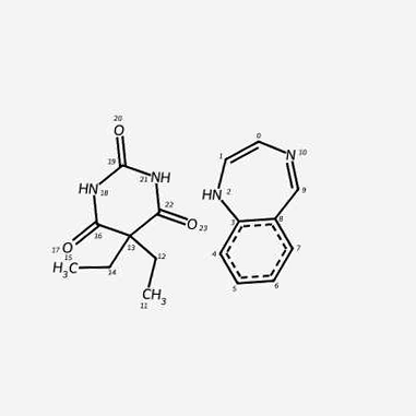 C1=CNc2ccccc2C=N1.CCC1(CC)C(=O)NC(=O)NC1=O